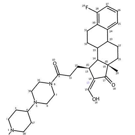 CN1CCC(N2CCN(C(=O)CC[C@@H]3/C(=C/O)C(=O)[C@@]4(C)CCC5c6cccc(F)c6CCC5C34)CC2)CC1